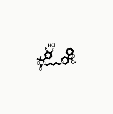 COC(=O)C1(c2ccccc2)CCN(CCCCCN2C(=O)OC(C)(C)C2c2ccc(F)c(F)c2)CC1.Cl